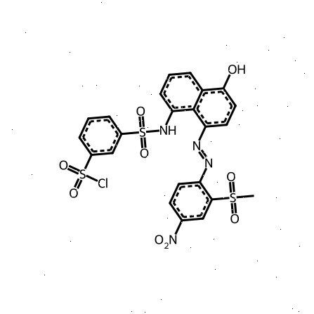 CS(=O)(=O)c1cc([N+](=O)[O-])ccc1/N=N/c1ccc(O)c2cccc(NS(=O)(=O)c3cccc(S(=O)(=O)Cl)c3)c12